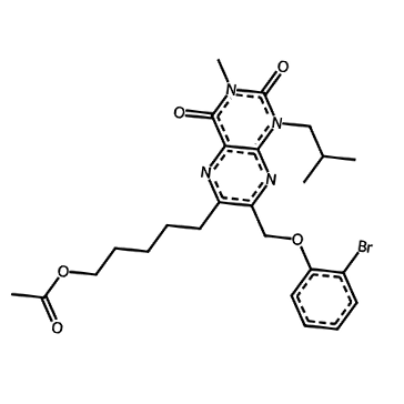 CC(=O)OCCCCCc1nc2c(=O)n(C)c(=O)n(CC(C)C)c2nc1COc1ccccc1Br